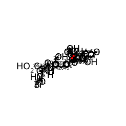 C[C@]12C=CC(=O)C=C1CC[C@H]1[C@@H]3C[C@H]4O[C@@H](c5ccc(Cc6cc(CO)cc(NC(=O)[C@H](CCC(=O)O)NC(=O)CNC(=O)CBr)c6)cc5)O[C@@]4(C(=O)COP(=O)(O)O)[C@@]3(C)C[C@H](O)[C@@]12F